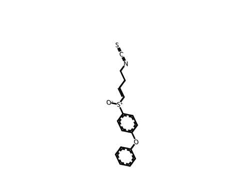 [O-][S+](C=CCCN=C=S)c1ccc(Oc2ccccc2)cc1